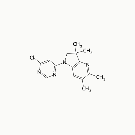 Cc1cc2c(nc1C)C(C)(C)CN2c1cc(Cl)ncn1